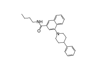 CCCCNC(=O)c1cc(N2CCC(c3ccccc3)CC2)c2ccccc2c1